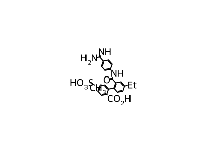 CCc1ccc(-c2ccccc2C(=O)O)c(C(=O)Nc2ccc(C(=N)N)cc2)c1.CS(=O)(=O)O